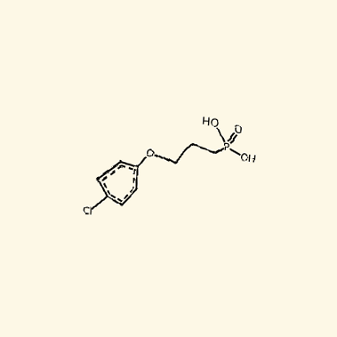 O=P(O)(O)CCCOc1ccc(Cl)cc1